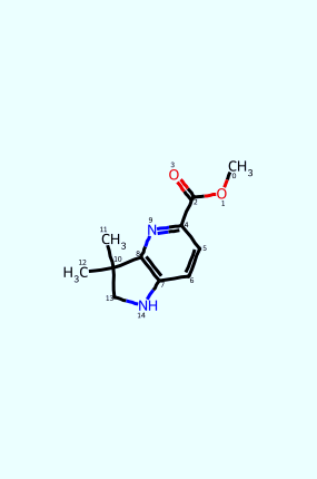 COC(=O)c1ccc2c(n1)C(C)(C)CN2